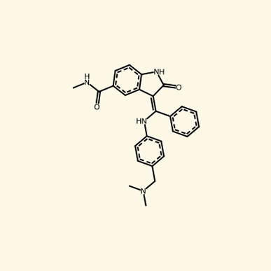 CNC(=O)c1ccc2c(c1)C(=C(Nc1ccc(CN(C)C)cc1)c1ccccc1)C(=O)N2